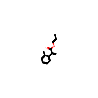 C=C(C(=O)OC=CC)c1ccccc1C